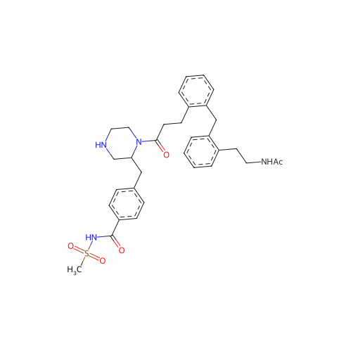 CC(=O)NCCc1ccccc1Cc1ccccc1CCC(=O)N1CCNCC1Cc1ccc(C(=O)NS(C)(=O)=O)cc1